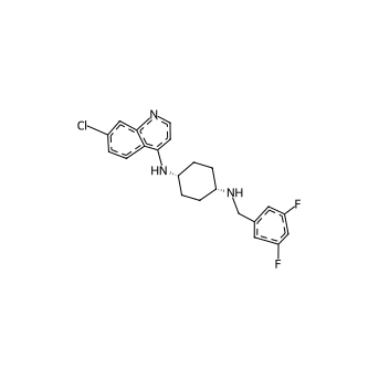 Fc1cc(F)cc(CN[C@H]2CC[C@@H](Nc3ccnc4cc(Cl)ccc34)CC2)c1